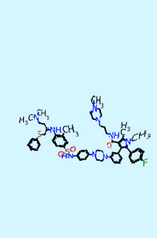 Cc1cc(S(=O)(=O)Nc2ccc(N3CCN(c4cccc(-c5c(C(=O)NCCCN6CCN(C)CC6)c(C)n(C)c5-c5ccc(F)cc5)c4)CC3)cc2)ccc1N[C@H](CCN(C)C)CSc1ccccc1